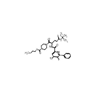 CCCCOC(=O)N1CCN(C(=O)C(CCC(=O)OC(C)(C)C)NC(=O)c2cc(Cl)c(F)c(-c3ccccc3)n2)CC1